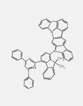 CC1(C)c2ccccc2-c2c(-c3nc(-c4ccccc4)nc(-c4ccccc4)n3)ccc(-n3c4ccccc4c4cc5c6cccc7c8ccccc8n(c5cc43)c76)c21